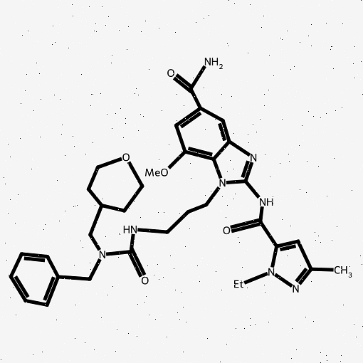 CCn1nc(C)cc1C(=O)Nc1nc2cc(C(N)=O)cc(OC)c2n1CCCNC(=O)N(Cc1ccccc1)CC1CCOCC1